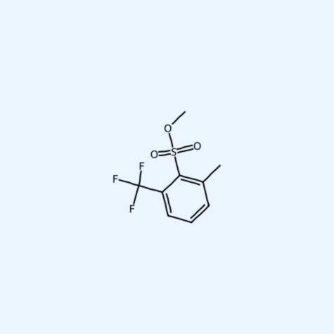 COS(=O)(=O)c1c(C)cccc1C(F)(F)F